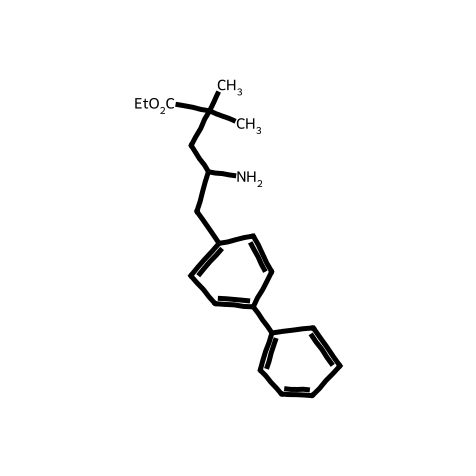 CCOC(=O)C(C)(C)CC(N)Cc1ccc(-c2ccccc2)cc1